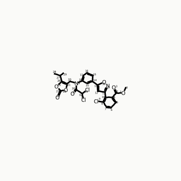 COC(=O)c1cccc(Cl)c1-c1cc(-c2cccc(N(Cc3oc(=O)oc3C(C)C)C(=O)C(Cl)Cl)c2)on1